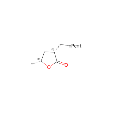 CCCCCC[C@H]1C[C@@H](C)OC1=O